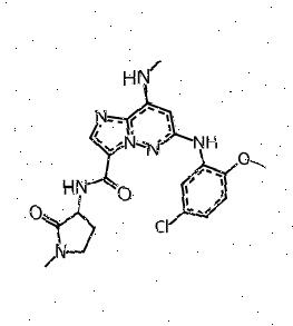 CNc1cc(Nc2cc(Cl)ccc2OC)nn2c(C(=O)NC3CCN(C)C3=O)cnc12